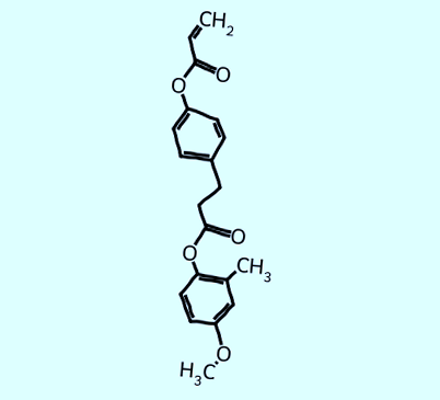 C=CC(=O)Oc1ccc(CCC(=O)Oc2ccc(OC)cc2C)cc1